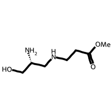 COC(=O)CCNC[C@@H](N)CO